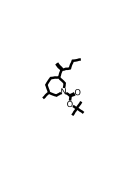 C=C(CCC)C1CCC(C)CN(C(=O)OC(C)(C)C)C1